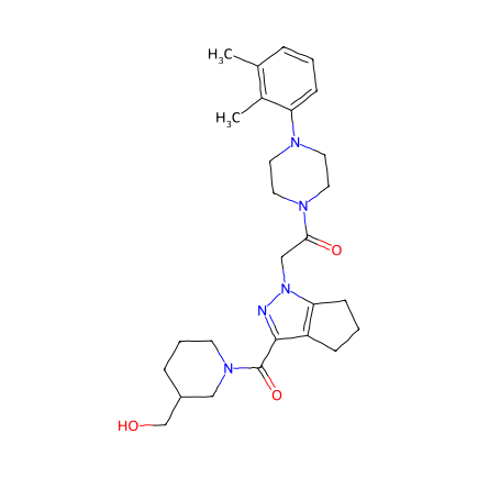 Cc1cccc(N2CCN(C(=O)Cn3nc(C(=O)N4CCCC(CO)C4)c4c3CCC4)CC2)c1C